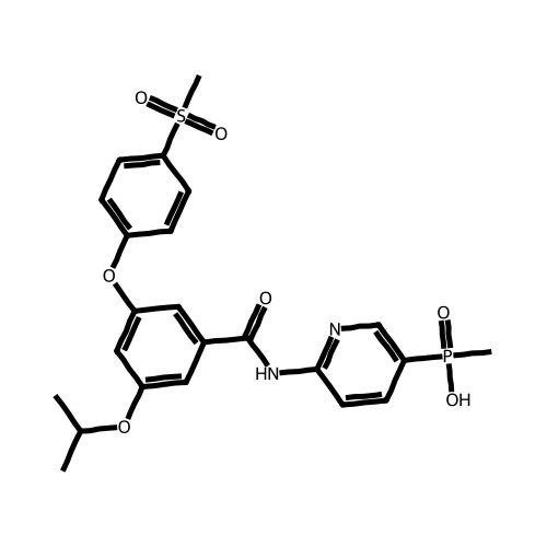 CC(C)Oc1cc(Oc2ccc(S(C)(=O)=O)cc2)cc(C(=O)Nc2ccc(P(C)(=O)O)cn2)c1